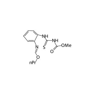 CCCO/C=N/c1ccccc1NC(=S)NC(=O)OC